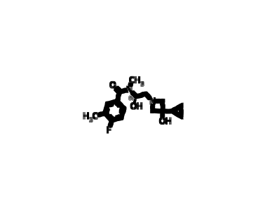 Cc1cc(C(=O)N(C)[C@@H](O)CN2CC(O)(C3CC3)C2)ccc1F